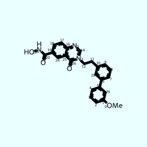 COc1cccc(-c2cccc(CCn3cnc4ccc(C(=O)NO)cc4c3=O)c2)c1